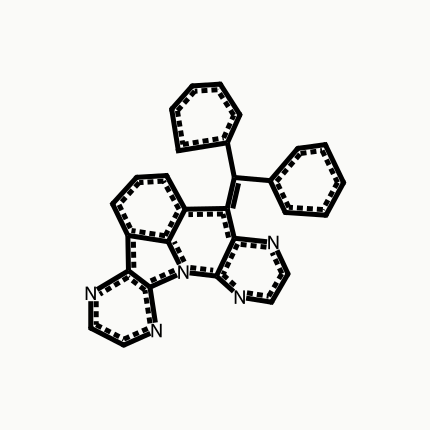 c1ccc(C(c2ccccc2)=c2c3cccc4c5nccnc5n(c5nccnc25)c34)cc1